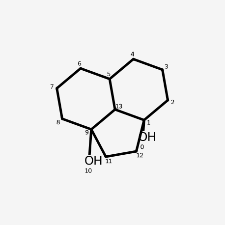 OC12CCCC3CCCC(O)(CC1)C32